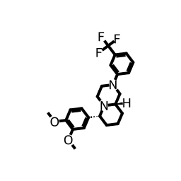 COc1ccc([C@H]2CCC[C@H]3CN(c4cccc(C(F)(F)F)c4)CCN32)cc1OC